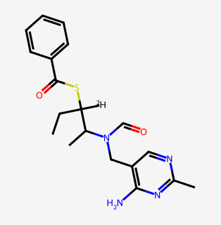 [2H]C(CC)(SC(=O)c1ccccc1)C(C)N(C=O)Cc1cnc(C)nc1N